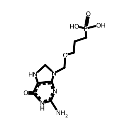 Nc1nc2c(c(=O)[nH]1)NCN2COCCCP(=O)(O)O